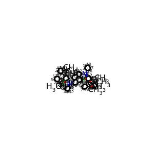 C[Si](C)(C)c1ccccc1-c1ccc(N(c2ccccc2)c2ccc3ccc4c(N(c5ccccc5)c5ccc(-c6ccccc6[Si](C)(C)C)c(-c6ccccc6[Si](C)(C)C)c5F)ccc5ccc2c3c54)c(F)c1-c1ccccc1[Si](C)(C)C